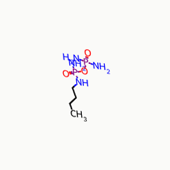 CCCCNP(N)(=O)OP(N)(N)=O